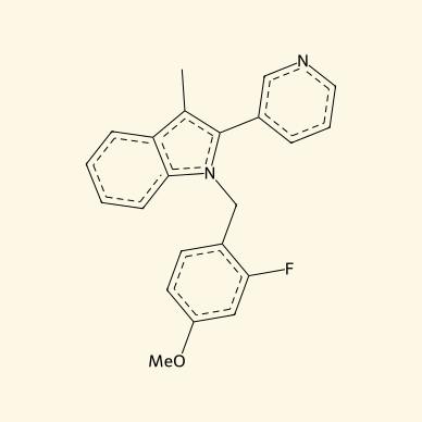 COc1ccc(Cn2c(-c3cccnc3)c(C)c3ccccc32)c(F)c1